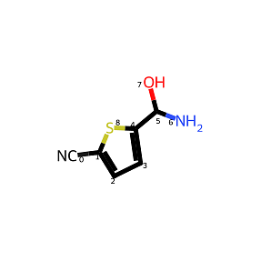 N#Cc1ccc(C(N)O)s1